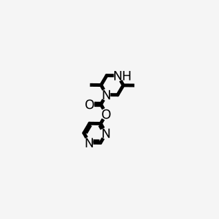 CC1CN(C(=O)Oc2ccncn2)C(C)CN1